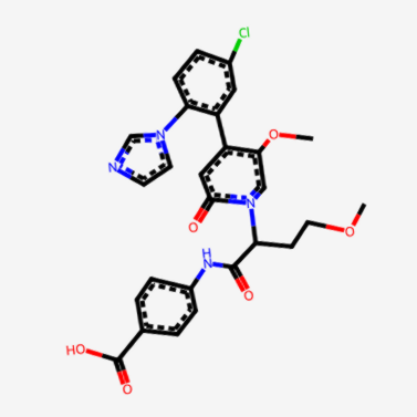 COCCC(C(=O)Nc1ccc(C(=O)O)cc1)n1cc(OC)c(-c2cc(Cl)ccc2-n2ccnc2)cc1=O